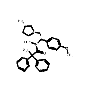 COc1ccc([C@@H](CN2CC[C@H](O)C2)N(C)C(=O)C(C)(c2ccccc2)c2ccccc2)cc1